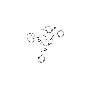 Cc1cccc2c1N(CC(=O)C13CC4CC(CC(C4)C1)C3)C(=O)[C@@H](NC(=O)OCc1ccccc1)N=C2c1ccccc1F